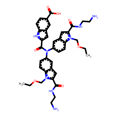 CCOCn1c(C(=O)NCCN)cc2cc(N(C(=O)c3cc4cc(C(=O)O)ccc4[nH]3)c3ccc4c(c3)cc(C(=O)NCCN)n4COCC)ccc21